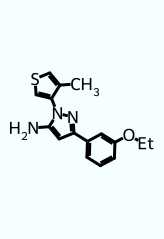 CCOc1cccc(-c2cc(N)n(-c3cscc3C)n2)c1